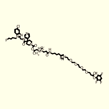 CC(CN[S+]([O-])CCC(=O)NCCCCc1cn(CCOCCOCCOCCOCCC(=O)Oc2c(F)c(F)cc(F)c2F)nn1)OC(=O)N1CCC2(CC1)C(=O)N(Cc1nc3cc(Cl)ccc3n1CCCCF)c1cnccc12